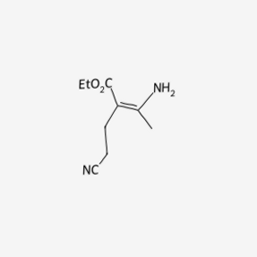 CCOC(=O)C(CCC#N)=C(C)N